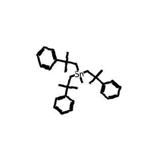 CC(C)([CH2][Sn]([CH3])([CH2]C(C)(C)c1ccccc1)[CH2]C(C)(C)c1ccccc1)c1ccccc1